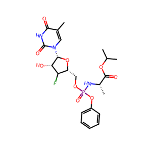 Cc1cn([C@@H]2O[C@H](COP(=O)(N[C@@H](C)C(=O)OC(C)C)Oc3ccccc3)C(F)[C@@H]2O)c(=O)[nH]c1=O